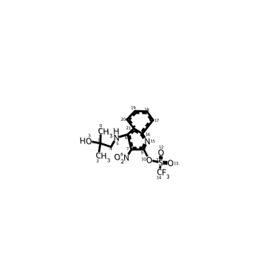 CC(C)(O)CNc1c([N+](=O)[O-])c(OS(=O)(=O)C(F)(F)F)nc2ccccc12